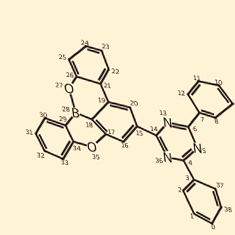 c1ccc(-c2nc(-c3ccccc3)nc(-c3cc4c5c(c3)-c3ccccc3OB5c3ccccc3O4)n2)cc1